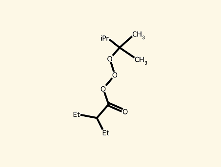 CCC(CC)C(=O)OOOC(C)(C)C(C)C